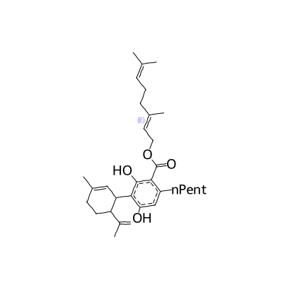 C=C(C)C1CCC(C)=CC1c1c(O)cc(CCCCC)c(C(=O)OC/C=C(\C)CCC=C(C)C)c1O